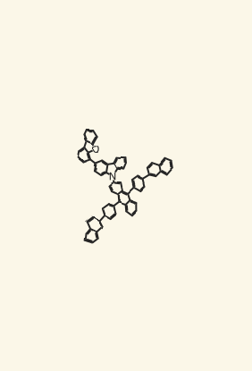 c1ccc2cc(-c3ccc(-c4c5ccccc5c(-c5ccc(-c6ccc7ccccc7c6)cc5)c5cc(-n6c7ccccc7c7cc(-c8cccc9c8oc8ccccc89)ccc76)ccc45)cc3)ccc2c1